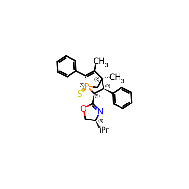 CC1=C(c2ccccc2)[P@]2(=S)C[C@]1(C)[C@@H](c1ccccc1)[C@H]2C1=N[C@@H](C(C)C)CO1